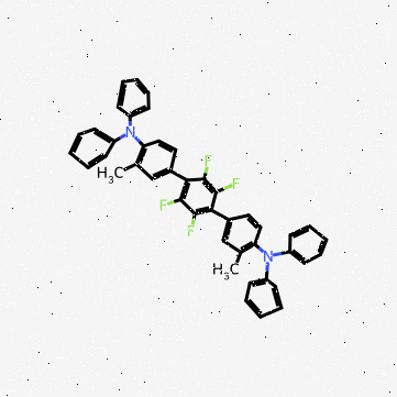 Cc1cc(-c2c(F)c(F)c(-c3ccc(N(c4ccccc4)c4ccccc4)c(C)c3)c(F)c2F)ccc1N(c1ccccc1)c1ccccc1